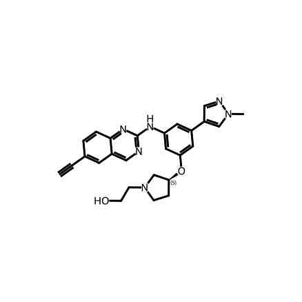 C#Cc1ccc2nc(Nc3cc(O[C@H]4CCN(CCO)C4)cc(-c4cnn(C)c4)c3)ncc2c1